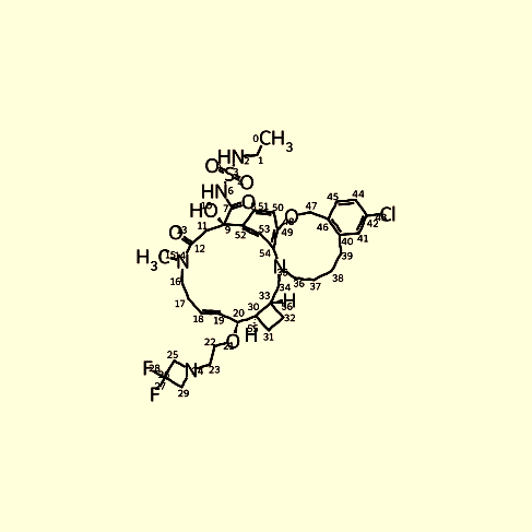 CCNS(=O)(=O)NC(=O)[C@@]1(O)CC(=O)N(C)CC/C=C/[C@H](OCCN2CC(F)(F)C2)[C@@H]2CC[C@H]2CN2CCCCc3cc(Cl)ccc3COc3ccc1cc32